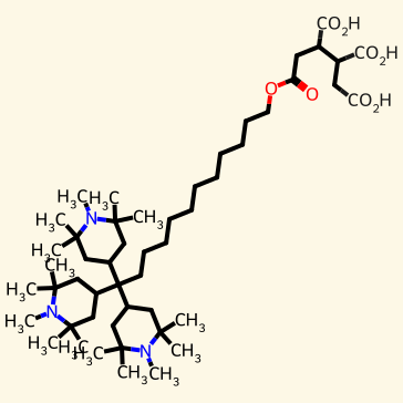 CN1C(C)(C)CC(C(CCCCCCCCCCCOC(=O)CC(C(=O)O)C(CC(=O)O)C(=O)O)(C2CC(C)(C)N(C)C(C)(C)C2)C2CC(C)(C)N(C)C(C)(C)C2)CC1(C)C